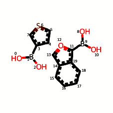 OB(O)c1ccsc1.OB(O)c1occ2ccccc12